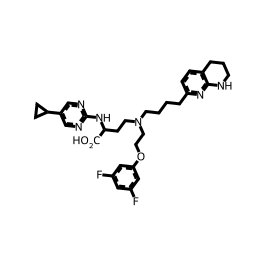 O=C(O)C(CCN(CCCCc1ccc2c(n1)NCCC2)CCOc1cc(F)cc(F)c1)Nc1ncc(C2CC2)cn1